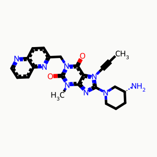 CC#Cn1c(N2CCC[C@@H](N)C2)nc2c1c(=O)n(Cc1ccc3ncccc3n1)c(=O)n2C